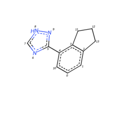 c1cc2c(c(-c3nc[nH]n3)c1)CCC2